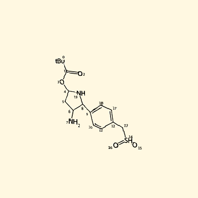 CC(C)(C)C(=O)OC1CC(N)C(c2ccc(C[SH](=O)=O)cc2)N1